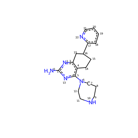 Nc1nc2c(c(N3CCCNCC3)n1)CCC(c1ccccn1)C2